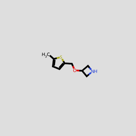 Cc1ccc(COC2CNC2)s1